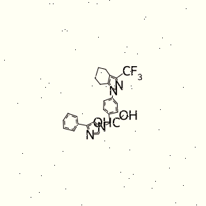 FC(F)(F)c1nn(-c2ccc(Cn3cnc(-c4ccccc4)c3)cc2)c2c1CCCC2.O=CO